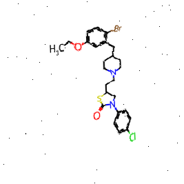 CCOc1ccc(Br)c(CC2CCN(CCC3CN(c4ccc(Cl)cc4)C(=O)S3)CC2)c1